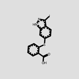 O=C(O)c1ccccc1Sc1ccc2c(I)n[nH]c2c1